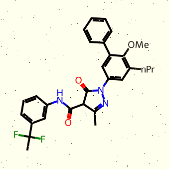 CCCc1cc(N2N=C(C)C(C(=O)Nc3cccc(C(C)(F)F)c3)C2=O)cc(-c2ccccc2)c1OC